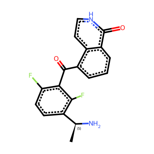 C[C@H](N)c1ccc(F)c(C(=O)c2cccc3c(=O)[nH]ccc23)c1F